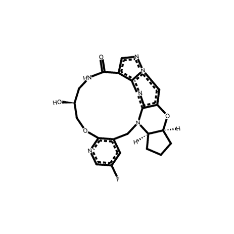 O=C1NC[C@H](O)COc2ncc(F)cc2CN2c3nc4c1cnn4cc3O[C@H]1CCC[C@H]12